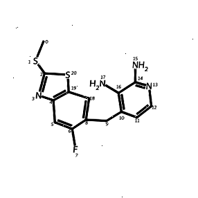 CSc1nc2cc(F)c(Cc3ccnc(N)c3N)cc2s1